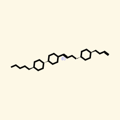 C=CCC[C@H]1CC[C@H](CC/C=C/C2CCC([C@H]3CC[C@H](CCCCC)CC3)CC2)CC1